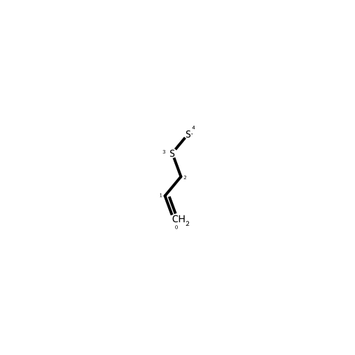 C=CCS[S]